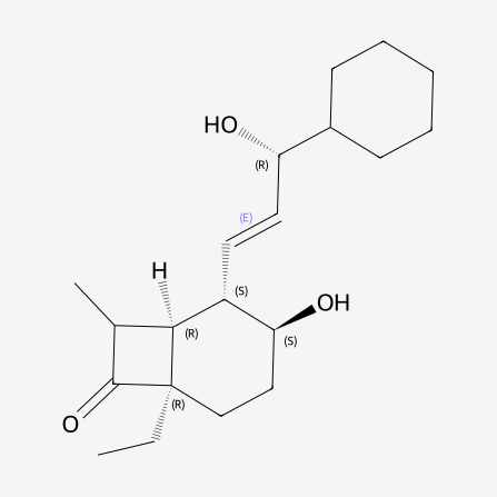 CC[C@@]12CC[C@H](O)[C@@H](/C=C/[C@H](O)C3CCCCC3)[C@@H]1C(C)C2=O